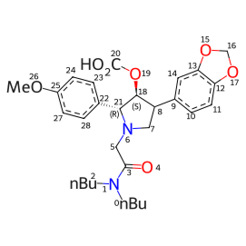 CCCCN(CCCC)C(=O)CN1CC(c2ccc3c(c2)OCO3)[C@H](OC(=O)O)[C@H]1c1ccc(OC)cc1